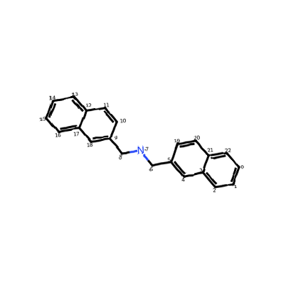 c1ccc2cc(C[N]Cc3ccc4ccccc4c3)ccc2c1